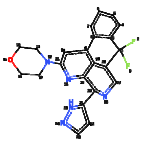 FC1(F)c2ccccc2-c2cc(N3CCOCC3)nc3c(-c4ccn[nH]4)ncc1c23